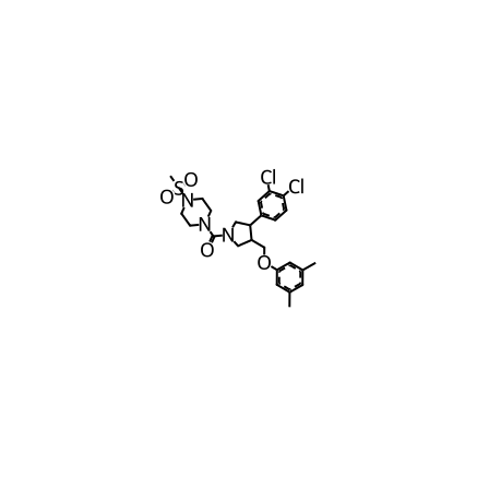 Cc1cc(C)cc(OCC2CN(C(=O)N3CCN(S(C)(=O)=O)CC3)CC2c2ccc(Cl)c(Cl)c2)c1